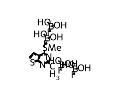 CSc1nc(C)nc2sccc12.OB(O)F.OB(O)F.OB(O)F.OB(O)F